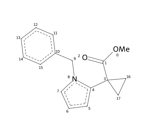 COC(=O)C1(c2cccn2Cc2ccccc2)CC1